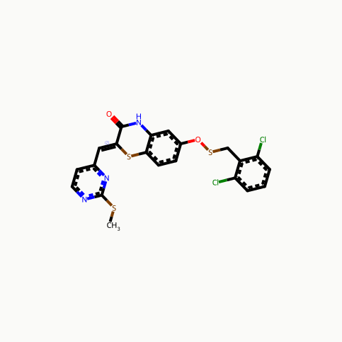 CSc1nccc(/C=C2\Sc3ccc(OSCc4c(Cl)cccc4Cl)cc3NC2=O)n1